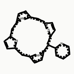 C1=Cc2cc3ccc([nH]3)c(-c3ccccn3)c3nc(cc4ccc(cc1n2)[nH]4)C=C3